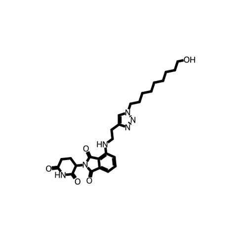 O=C1CCC(N2C(=O)c3cccc(NCCc4cn(CCCCCCCCCO)nn4)c3C2=O)C(=O)N1